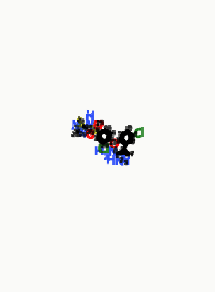 Nc1[nH]ncc1-c1cc(Cl)ccc1Oc1ccc(S(=O)(=O)Nc2ncns2)cc1Cl